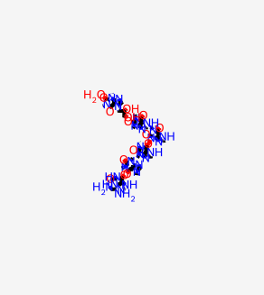 Cn1c(=O)c2[nH]cnc2n(C)c1=O.Cn1c(=O)c2[nH]cnc2n(C)c1=O.Cn1c(=O)c2[nH]cnc2n(C)c1=O.Cn1c(=O)c2c(ncn2C)n(C)c1=O.Cn1c(=O)c2c(ncn2CC(O)CO)n(C)c1=O.NCCN.O.O=c1[nH]c(=O)c2[nH]cnc2[nH]1